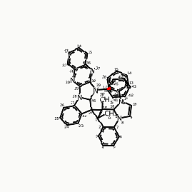 CC12c3ccccc3N3C=CN(c4ccccc4)C3C1(C)C21c2ccccc2N2c3nc4ccccc4nc3N(c3ccccc3)C21